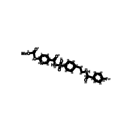 COC(=O)Oc1ccc(C(=O)NS(=O)(=O)c2ccc(CCNC(=O)c3ccc(F)cc3)cc2)cn1